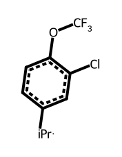 C[C](C)c1ccc(OC(F)(F)F)c(Cl)c1